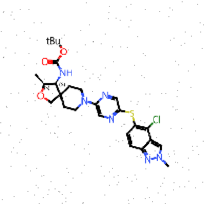 C[C@@H]1OCC2(CCN(c3cnc(Sc4ccc5nn(C)cc5c4Cl)cn3)CC2)[C@@H]1NC(=O)OC(C)(C)C